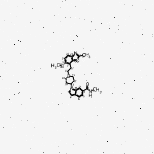 CNC(=O)c1ccc2ccn(C3CCN(CCc4c(OC)ccc5nc(C)oc45)CC3)c2c1